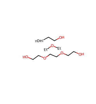 CCCCCCCCCCCCO.CCOCC.OCCOCCOCCO